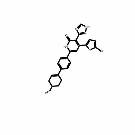 CCCC1CC=C(c2ccc(-c3cc(-c4ccc(CC)s4)c(-c4nc[nH]n4)c(=O)[nH]3)cc2)CC1